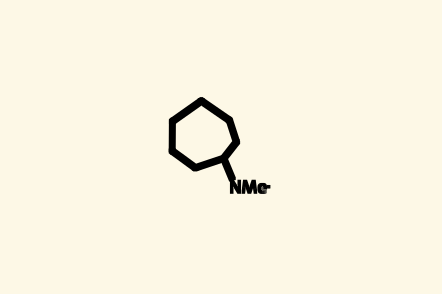 C[N]C1CCCCCC1